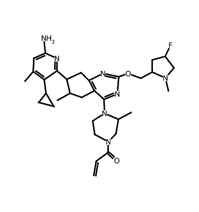 C=CC(=O)N1CCN(c2nc(OCC3CC(F)CN3C)nc3c2CC(C)C(c2nc(N)cc(C)c2C2CC2)C3)C(C)C1